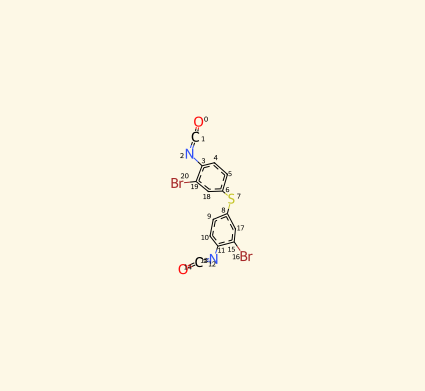 O=C=Nc1ccc(Sc2ccc(N=C=O)c(Br)c2)cc1Br